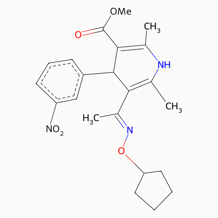 COC(=O)C1=C(C)NC(C)=C(C(C)=NOC2CCCC2)C1c1cccc([N+](=O)[O-])c1